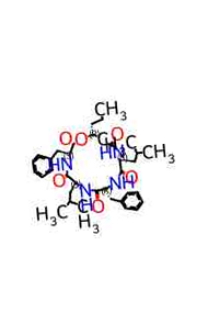 CCC[C@@H]1CC(=O)N[C@@H](CC(C)C)C(=O)N[C@H](Cc2ccccc2)C(=O)N[C@@H](CC(C)C)C(=O)N[C@@H](Cc2ccccc2)C(=O)O1